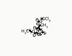 C=CCOC(=O)C(Cl)N1C(=O)C(C(C)OC(=O)OCC(Cl)(Cl)Cl)C1SC(=S)S